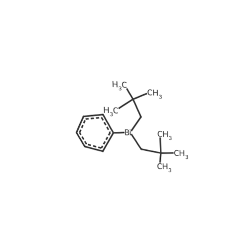 CC(C)(C)[CH2][Bi]([CH2]C(C)(C)C)[c]1ccccc1